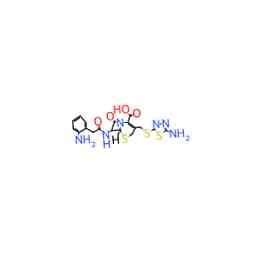 Nc1nnc(SCC2=C(C(=O)O)N3C(=O)C(NC(=O)Cc4ccccc4N)[C@H]3SC2)s1